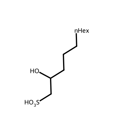 CCCCCCCCCC(O)CS(=O)(=O)O